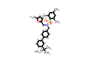 CCc1cc(C)cc(C)c1S(=O)(=O)N(Cc1ccc(-c2cccc(C(C)(C)C(=O)O)c2)cc1)Cc1ccc(C(F)(F)F)o1